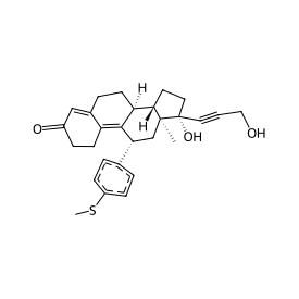 CSc1ccc([C@H]2C[C@@]3(C)[C@@H](CC[C@@]3(O)C#CCO)[C@@H]3CCC4=CC(=O)CCC4=C32)cc1